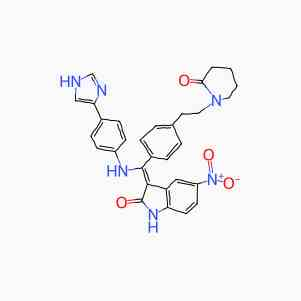 O=C1Nc2ccc([N+](=O)[O-])cc2/C1=C(/Nc1ccc(-c2c[nH]cn2)cc1)c1ccc(CCN2CCCCC2=O)cc1